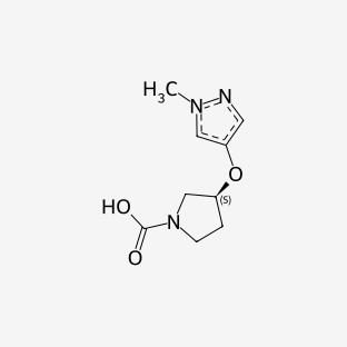 Cn1cc(O[C@H]2CCN(C(=O)O)C2)cn1